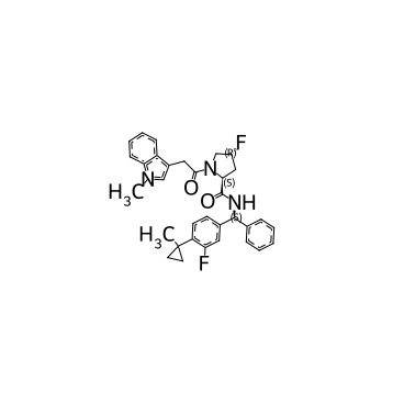 Cn1cc(CC(=O)N2C[C@H](F)C[C@H]2C(=O)N[C@@H](c2ccccc2)c2ccc(C3(C)CC3)c(F)c2)c2ccccc21